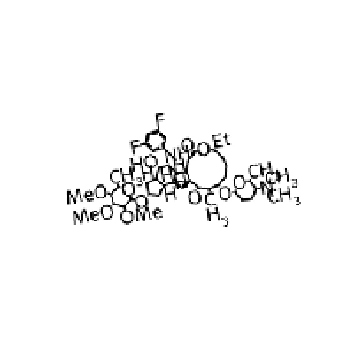 CC[C@H]1CCC[C@H](O[C@H]2CC[C@H](N(C)C)C(C)O2)[C@@H](C)C(=O)C2=C[C@H]3[C@@H]4C[C@H](O[C@@H]5OC(C)[C@H](OC)C(OC)C5OC)C[C@H]4[C@@H](O)[C@H](Nc4cc(F)cc(F)c4)[C@H]3[C@@H]2CC(=O)O1